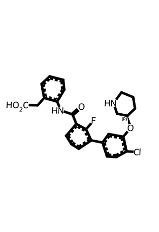 O=C(O)Cc1ccccc1NC(=O)c1cccc(-c2ccc(Cl)c(O[C@@H]3CCCNC3)c2)c1F